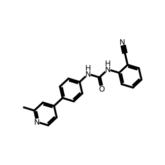 Cc1cc(-c2ccc(NC(=O)Nc3ccccc3C#N)cc2)ccn1